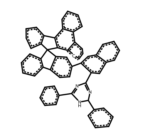 c1ccc(C2=NC(c3cc4ccccc4cc3-c3ccc4c(c3)C3(c5ccccc5-4)c4ccccc4-c4c3c3ccccc3c3ccccc43)=NC(c3ccccc3)N2)cc1